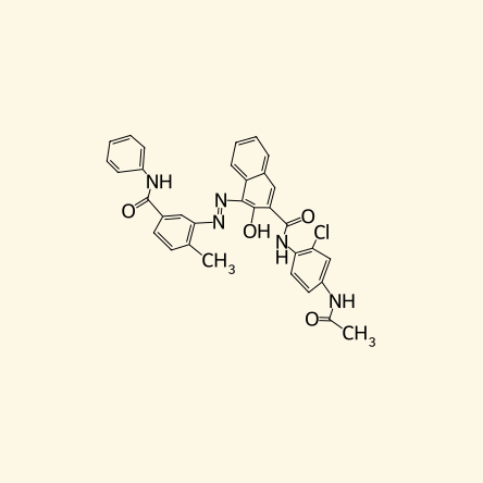 CC(=O)Nc1ccc(NC(=O)c2cc3ccccc3c(N=Nc3cc(C(=O)Nc4ccccc4)ccc3C)c2O)c(Cl)c1